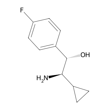 N[C@H](C1CC1)[C@@H](O)c1ccc(F)cc1